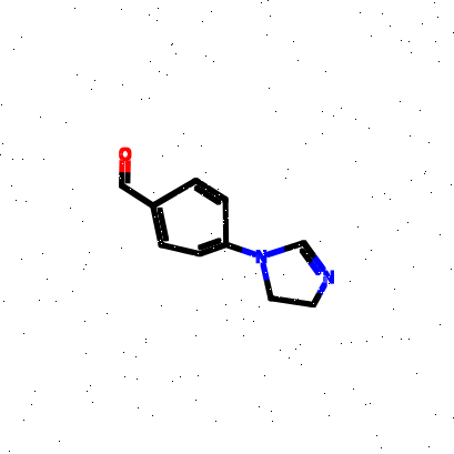 O=Cc1ccc(N2C=NCC2)cc1